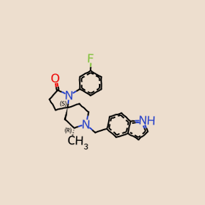 C[C@@H]1C[C@]2(CCC(=O)N2c2cccc(F)c2)CCN1Cc1ccc2[nH]ccc2c1